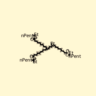 CCCCCC(CC)OC(=O)CCCCCCCCN(CC)CCCN(CCCCCCCCC(=O)OC(CC)CCCCC)CCCCCCCCC(=O)OC(CC)CCCCC